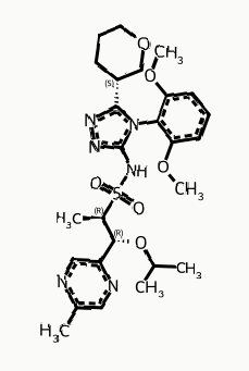 COc1cccc(OC)c1-n1c(NS(=O)(=O)[C@H](C)[C@H](OC(C)C)c2cnc(C)cn2)nnc1[C@@H]1CCCOC1